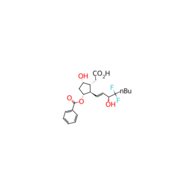 CCCCC(F)(F)[C@@H](O)C=C[C@@H]1[C@@H](CC(=O)O)[C@@H](O)C[C@H]1OC(=O)c1ccccc1